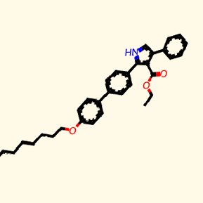 CCCCCCCCOc1ccc(-c2ccc(-c3[nH]cc(-c4ccccc4)c3C(=O)OCC)cc2)cc1